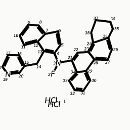 Cl.Cl.FN(c1ccc2ccccc2c1Cc1cccnc1)c1cc2c3c(ccc2c2ccccc12)CCCC3